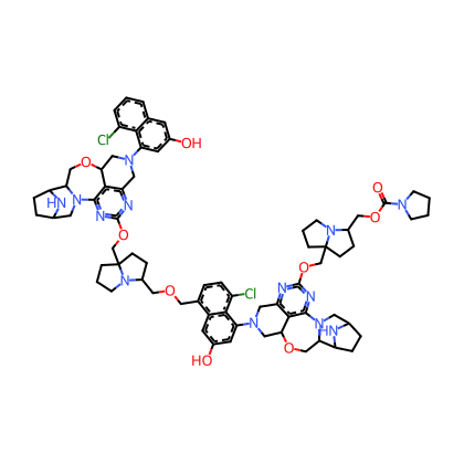 O=C(OCC1CCC2(COc3nc4c5c(n3)N3CC6CCC(N6)C3COC5CN(c3cc(O)cc5c(COCC6CCC7(COc8nc9c%10c(n8)N8CC%11CCC(N%11)C8COC%10CN(c8cc(O)cc%10cccc(Cl)c8%10)C9)CCCN67)ccc(Cl)c35)C4)CCCN12)N1CCCC1